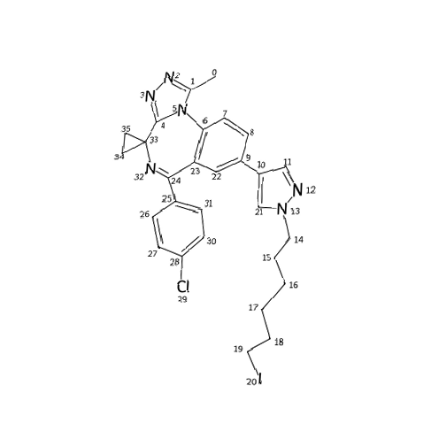 Cc1nnc2n1-c1ccc(-c3cnn(CCCCCCI)c3)cc1C(c1ccc(Cl)cc1)=NC21CC1